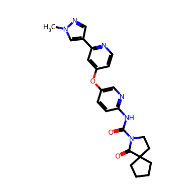 Cn1cc(-c2cc(Oc3ccc(NC(=O)N4CCC5(CCCC5)C4=O)nc3)ccn2)cn1